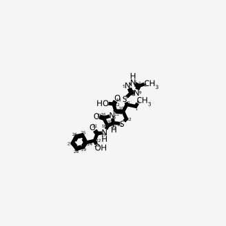 CCC(Sc1n[nH]c(C)n1)C1=C(C(=O)O)N2C(=O)C(NC(=O)C(O)c3ccccc3)[C@@H]2SC1